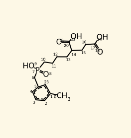 Cc1cccc(CP(=O)(O)CCCCC(CCC(=O)O)C(=O)O)c1